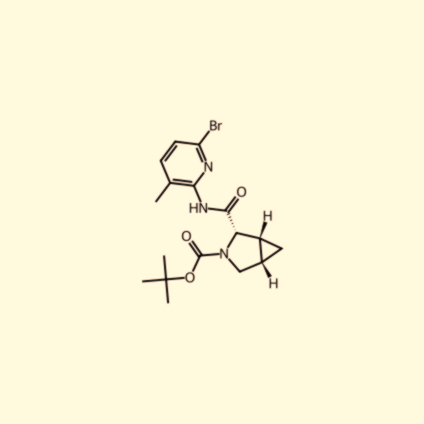 Cc1ccc(Br)nc1NC(=O)[C@@H]1[C@@H]2C[C@@H]2CN1C(=O)OC(C)(C)C